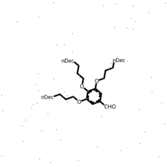 CCCCCCCCCCCCCOc1cc(C=O)cc(OCCCCCCCCCCCCC)c1OCCCCCCCCCCCCC